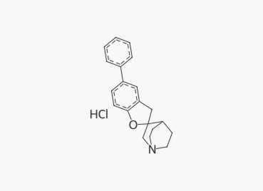 Cl.c1ccc(-c2ccc3c(c2)CC2(CN4CCC2CC4)O3)cc1